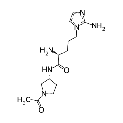 CC(=O)N1CC[C@@H](NC(=O)[C@@H](N)CCCn2ccnc2N)C1